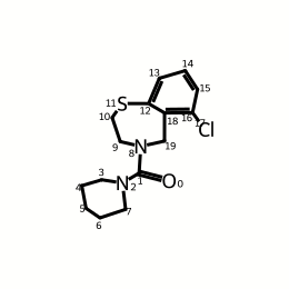 O=C(N1CCCCC1)N1CCSc2cccc(Cl)c2C1